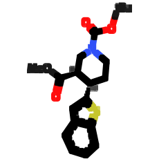 COC(=O)[C@H]1CN(C(=O)OC(C)(C)C)CC[C@@H]1c1cc2ccccc2s1